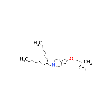 CCCCCCC(CCCCCC)CN1CCC2(CC1)CC(OCCC(C)C)C2